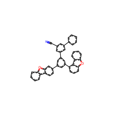 N#Cc1cc(-c2ccccc2)cc(-c2cc(-c3ccc4c(c3)oc3ccccc34)cc(-c3cccc4oc5ccccc5c34)c2)c1